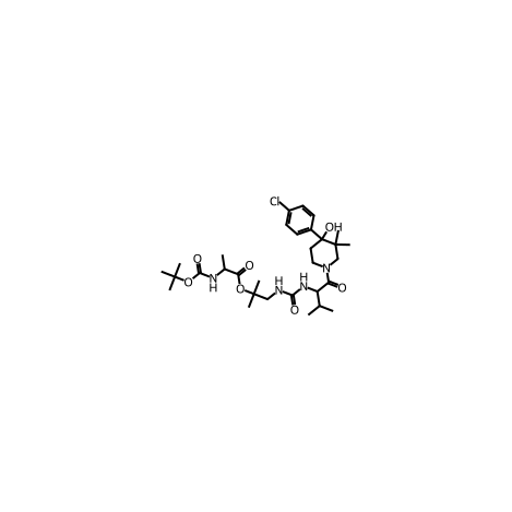 CC(NC(=O)OC(C)(C)C)C(=O)OC(C)(C)CNC(=O)NC(C(=O)N1CCC(O)(c2ccc(Cl)cc2)C(C)(C)C1)C(C)C